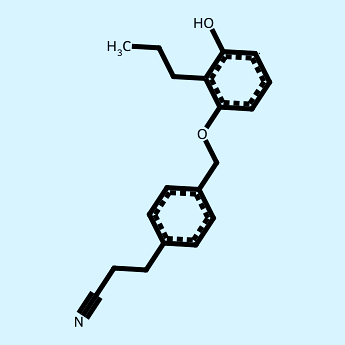 CCCc1c(O)[c]ccc1OCc1ccc(CCC#N)cc1